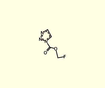 O=C(OCF)n1ccnn1